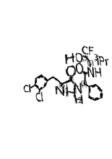 CC(C)[C@H](NC(=O)[C@@H](NC(=O)[C@@H](N)Cc1ccc(Cl)c(Cl)c1)c1ccccc1)[C@H](O)C(F)(F)F